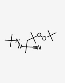 CC(C)(C)N=NC(C)(C#N)CC(C)(C)OOC(C)(C)C